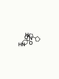 O=C1N2C(C3CCCC3)CC[C@H]2OC12CCNCC2